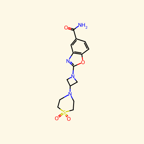 NC(=O)c1ccc2oc(N3CC(N4CCS(=O)(=O)CC4)C3)nc2c1